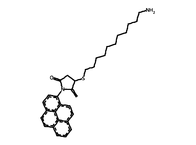 C=C1C(SCCCCCCCCCCCN)CC(=O)N1c1ccc2ccc3cccc4ccc1c2c34